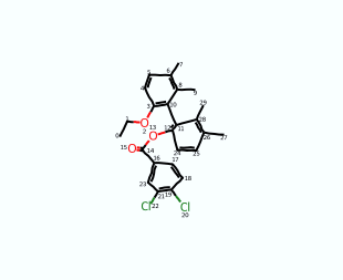 CCOc1ccc(C)c(C)c1-c1c(OC(=O)c2ccc(Cl)c(Cl)c2)ccc(C)c1C